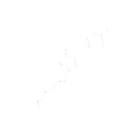 Cc1nn(CCNC(=O)OC(C)(C)C)c(C)c1S(=O)(=O)c1ccc(F)cc1